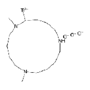 CN1CCCCNCCC[CH]([Ti+3])N(C)CCCC1.[Cl-].[Cl-].[Cl-]